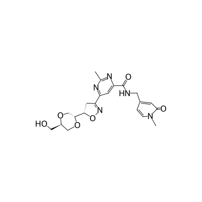 Cc1nc(C(=O)NCc2ccn(C)c(=O)c2)cc(C2=NO[C@H]([C@H]3CO[C@H](CO)CO3)C2)n1